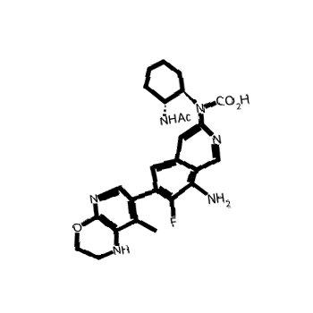 CC(=O)N[C@@H]1CCCC[C@H]1N(C(=O)O)c1cc2cc(-c3cnc4c(c3C)NCCO4)c(F)c(N)c2cn1